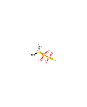 CC(C)(C)S(C(C)(C)C)=P(O)(O)P(O)(O)=S